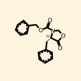 O=C1OCN(C(=O)OCc2ccccc2)[C@H]1Cc1ccccc1